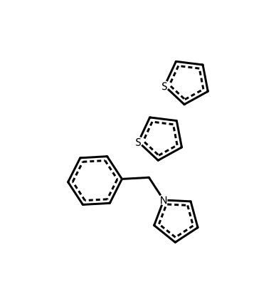 c1ccc(Cn2cccc2)cc1.c1ccsc1.c1ccsc1